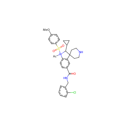 COc1ccc(S(=O)(=O)[N+]2(C(C)=O)c3ccc(C(=O)NCc4ccccc4Cl)cc3C3(CCNCC3)C2C2CC2)cc1